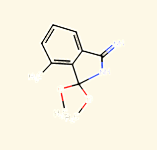 COC1(OC)NC(=N)c2cccc(C)c21